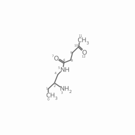 CCC(N)CNC(=O)CCC(C)=O